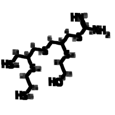 N=C(N)SCC(CSCC(CS)SCCS)SCCO